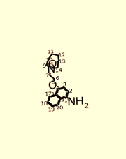 Nc1ccc(OCCN2CC3CCC(C2)O3)c2ccccc12